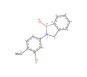 COc1ccc(N2Cc3ccccc3[S+]2[O-])cc1Cl